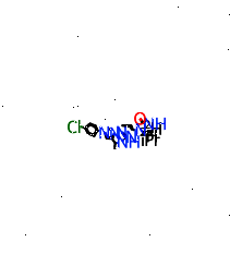 [2H]C1([2H])NC(=O)N(c2ccnc(NC(C)c3cn(-c4ccc(Cl)cc4)cn3)n2)[C@H]1C(C)C